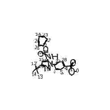 COC(=O)c1ccc(-n2nc(C(C)(C)C)cc2NC(=O)Oc2ccccc2)cc1